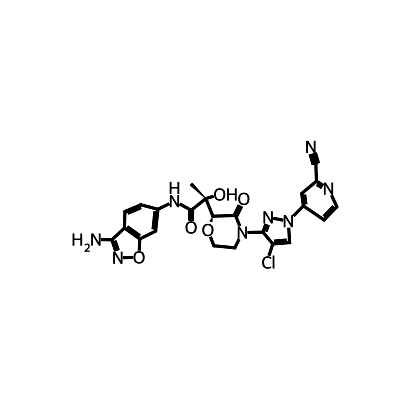 C[C@](O)(C(=O)Nc1ccc2c(N)noc2c1)[C@H]1OCCN(c2nn(-c3ccnc(C#N)c3)cc2Cl)C1=O